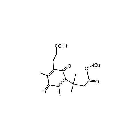 CC1=C(CCC(=O)O)C(=O)C(C(C)(C)CC(=O)OC(C)(C)C)=C(C)C1=O